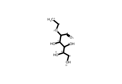 CCOC(C=O)C(O)C(O)C(O)CO